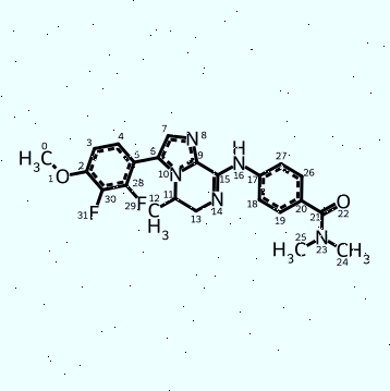 COc1ccc(-c2cnc3n2C(C)CN=C3Nc2ccc(C(=O)N(C)C)cc2)c(F)c1F